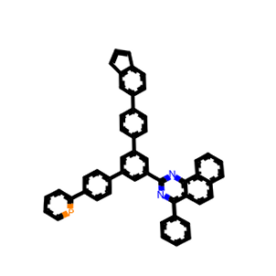 C1=Cc2ccc(-c3ccc(-c4cc(-c5ccc(-c6ccccp6)cc5)cc(-c5nc(-c6ccccc6)c6ccc7ccccc7c6n5)c4)cc3)cc2C=1